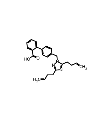 C=CCCc1nc(CCC=C)n(Cc2ccc(-c3ccccc3C(=O)O)cc2)n1